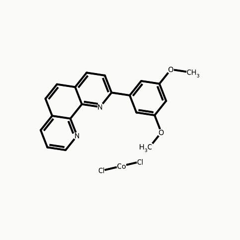 COc1cc(OC)cc(-c2ccc3ccc4cccnc4c3n2)c1.[Cl][Co][Cl]